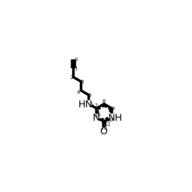 C#CCCCCNc1cc[nH]c(=O)n1